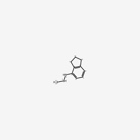 BBNc1cccc2c1CCC2